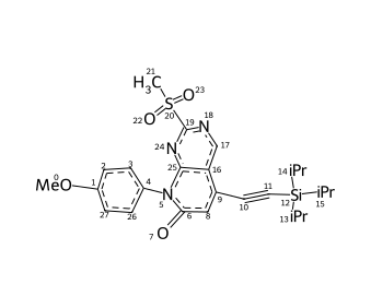 COc1ccc(-n2c(=O)cc(C#C[Si](C(C)C)(C(C)C)C(C)C)c3cnc(S(C)(=O)=O)nc32)cc1